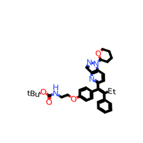 CC/C(=C(/c1ccc(OCCNC(=O)OC(C)(C)C)cc1)c1ccc2c(cnn2C2CCCCO2)n1)c1ccccc1